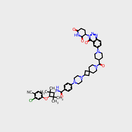 CC1(C)[C@H](NC(=O)c2ccc(N3CCN(C4CC5(CCN(C(=O)C6CCN(c7ccc8nnn(C9CCC(=O)NC9=O)c(=O)c8c7)CC6)CC5)C4)CC3)cc2)C(C)(C)[C@H]1Oc1ccc(C#N)c(Cl)c1